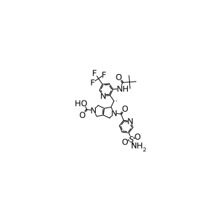 CC(C)(C)C(=O)Nc1cc(C(F)(F)F)cnc1[CH]C1C2=C(CN(C(=O)O)C2)CN1C(=O)c1ccc(S(N)(=O)=O)cn1